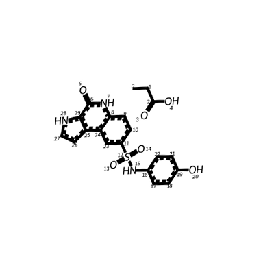 CCC(=O)O.O=c1[nH]c2ccc(S(=O)(=O)Nc3ccc(O)cc3)cc2c2cc[nH]c12